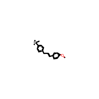 COc1ccc(C=CCc2ccc([Si](C)(C)C)cc2)cc1